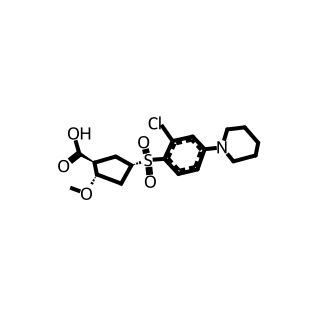 CO[C@H]1C[C@@H](S(=O)(=O)c2ccc(N3CCCCC3)cc2Cl)C[C@@H]1C(=O)O